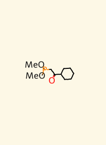 COP(CC(=O)C1CCCCC1)OC